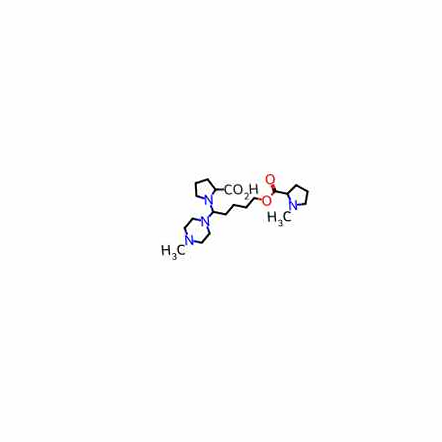 CN1CCN(C(CCCCOC(=O)C2CCCN2C)N2CCCC2C(=O)O)CC1